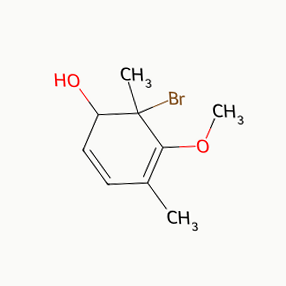 COC1=C(C)C=CC(O)C1(C)Br